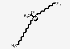 CCCCCCCCCCCCCN1C=CN(CCCCCCCCCC)C1C(C)C